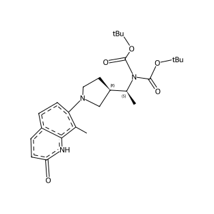 Cc1c(N2CC[C@@H]([C@H](C)N(C(=O)OC(C)(C)C)C(=O)OC(C)(C)C)C2)ccc2ccc(=O)[nH]c12